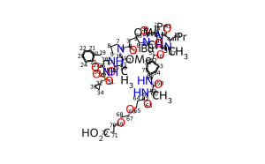 CC[C@H](C)[C@@H]([C@@H](CC(=O)N1CCC[C@H]1[C@H](OC)[C@@H](C)C(=O)N[C@@H](Cc1ccccc1)C(=O)NS(=O)(=O)C1CC1)OC)N(C)C(=O)[C@@H](NC(=O)C(C(C)C)N(C)C(=O)OCc1ccc(NC(=O)[C@H](C)NC(=O)CCOCCOCCC(=O)O)cc1)C(C)C